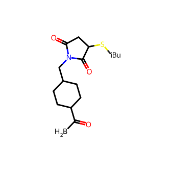 BC(=O)C1CCC(CN2C(=O)CC(SC(C)CC)C2=O)CC1